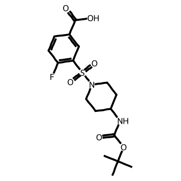 CC(C)(C)OC(=O)NC1CCN(S(=O)(=O)c2cc(C(=O)O)ccc2F)CC1